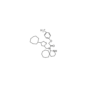 Cc1ccc(OCC(=O)N(CC2CC(C3CCCCCCC3)CS2)C2NCCCC23CCCCCCC3)cc1